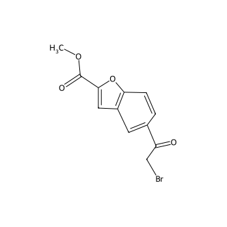 COC(=O)c1cc2cc(C(=O)CBr)ccc2o1